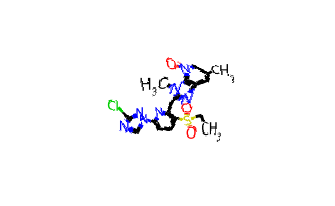 CCS(=O)(=O)c1ccc(-n2cnc(Cl)n2)nc1-c1nc2cc(C)c[n+]([O-])c2n1C